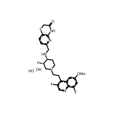 COc1cc(F)c2ncc(F)c(CCN3CC[C@H](NCc4ccc5c(n4)NC(=O)CS5)[C@H](F)C3)c2c1.Cl.Cl